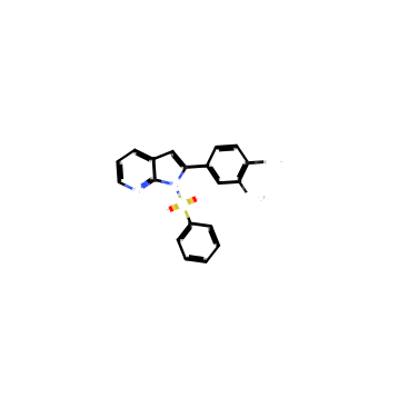 COc1cc(-c2cc3cccnc3n2S(=O)(=O)c2ccccc2)ccc1C=O